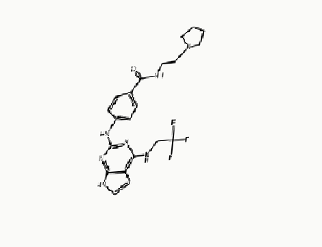 O=C(NCCN1CCCC1)c1ccc(Nc2nc(NCC(F)(F)F)c3cc[nH]c3n2)cc1